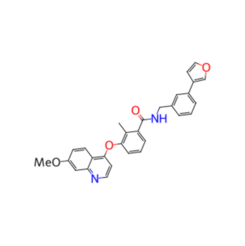 COc1ccc2c(Oc3cccc(C(=O)NCc4cccc(-c5ccoc5)c4)c3C)ccnc2c1